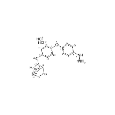 Cl.Cl.NNc1ccc(Oc2ccc(OC3CN4CCC3CC4)cc2)cc1